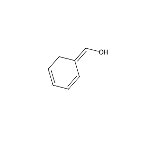 OC=C1C=C[C]=CC1